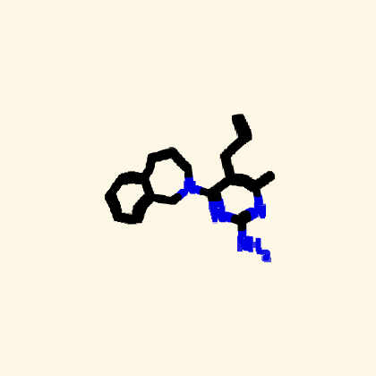 C=CCc1c(C)nc(N)nc1N1CCCc2ccccc2C1